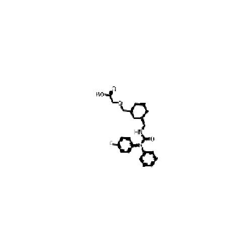 O=C(O)COCC1CCCC(CNC(=O)N(c2ccccc2)c2ccc(F)cc2)C1